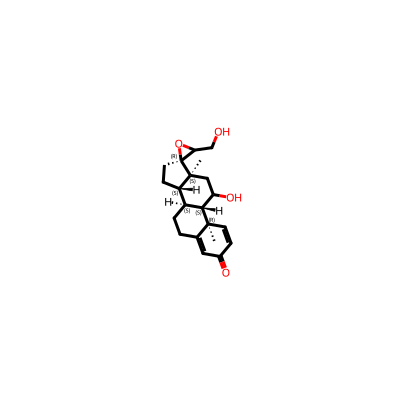 C[C@]12C=CC(=O)C=C1CC[C@@H]1[C@@H]2C(O)C[C@@]2(C)[C@H]1CC[C@@]21OC1CO